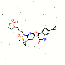 CNC(=O)c1c(-c2ccc(C3CC3)cc2)oc2nc(N(CCCC3CCCS3(=O)=O)S(C)(=O)=O)c(C3CC3)cc12